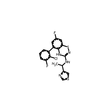 CC(NC1=NSc2cc(F)cc(-c3cccc(F)c3Cl)c2N1)c1cscn1